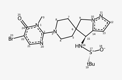 Cn1c(N2CCC3(CC2)Cn2nccc2[C@H]3N[S@+]([O-])C(C)(C)C)ncc(Br)c1=O